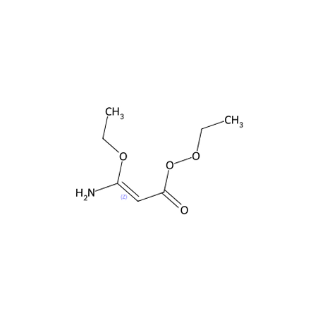 CCOOC(=O)/C=C(/N)OCC